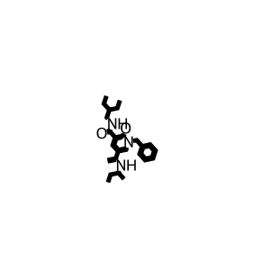 C=C(NC(C)CC)c1cc(C(=O)NCC(CC)CC)c(=O)n(Cc2ccccc2)c1